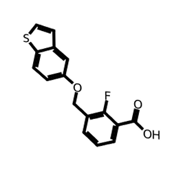 O=C(O)c1cccc(COc2ccc3sccc3c2)c1F